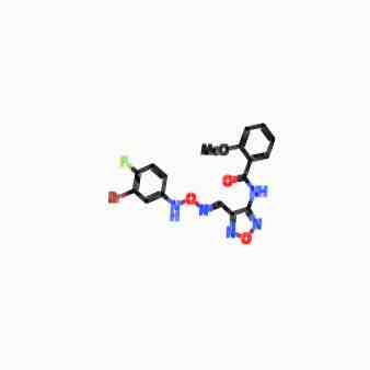 COc1ccccc1C(=O)Nc1nonc1/C=N/ONc1ccc(F)c(Br)c1